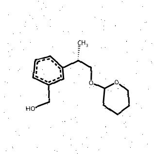 C[C@H](COC1CCCCO1)c1cccc(CO)c1